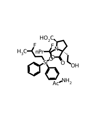 CC(N)=O.CCCC(F)OC(=O)[C@]1(CCO)CC[C@H](C(=O)O)N1CO[Si](CCC(C)F)(c1ccccc1)c1ccccc1